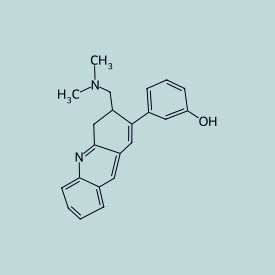 CN(C)CC1Cc2nc3ccccc3cc2C=C1c1cccc(O)c1